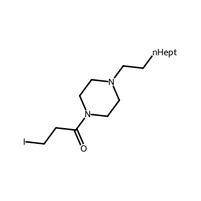 CCCCCCCCCN1CCN(C(=O)CCI)CC1